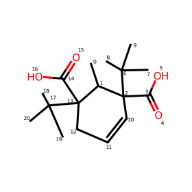 CC1C(C(=O)O)(C(C)(C)C)C=CCC1(C(=O)O)C(C)(C)C